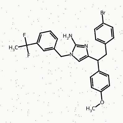 COc1ccc(C(Cc2ccc(Br)cc2)c2cn(Cc3cccc(C(C)(F)F)c3)c(N)n2)cc1